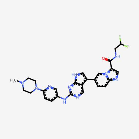 CN1CCN(c2ccc(Nc3ncc4c(-c5ccc6ncc(C(=O)NCC(F)F)n6c5)c[nH]c4n3)cn2)CC1